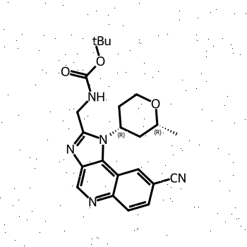 C[C@@H]1C[C@H](n2c(CNC(=O)OC(C)(C)C)nc3cnc4ccc(C#N)cc4c32)CCO1